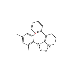 Cc1cc(C)c(N2C=CN3CCCC(c4ccccc4)=C32)c(C)c1